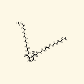 CCCCCCCCCCCCCCC(=O)c1cscc1C(=O)CCCCCCCCCCCCCC